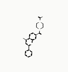 C=C(CCC)N1CCN(C(=C)c2ccc3c(Cl)cc(-c4ccccc4)nc3c2)CC1